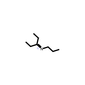 C[CH]/C(CC)=N\CCC